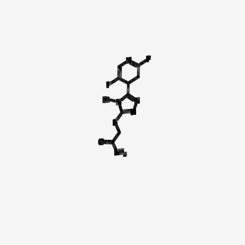 CCn1c(SCC(N)=O)nnc1C1CC(F)=NC=C1F